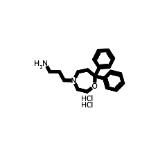 Cl.Cl.NCCCN1CCOC(c2ccccc2)(c2ccccc2)CC1